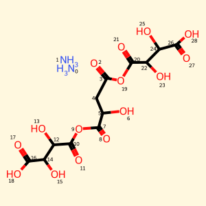 N.N.O=C(CC(O)C(=O)OC(=O)C(O)C(O)C(=O)O)OC(=O)C(O)C(O)C(=O)O